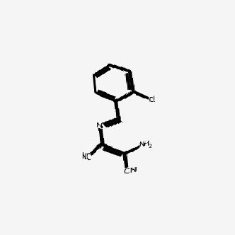 N#CC(N)=C(C#N)N=Cc1ccccc1Cl